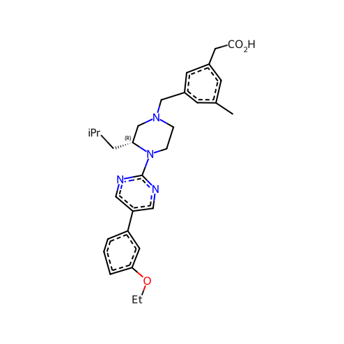 CCOc1cccc(-c2cnc(N3CCN(Cc4cc(C)cc(CC(=O)O)c4)C[C@H]3CC(C)C)nc2)c1